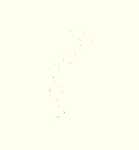 Cc1nnc(-c2ccc(C(=O)NC(C)C3CCC(c4ccnc5ccc(F)cc45)CC3)cc2)o1